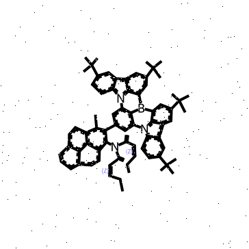 C=C(/C=C\CC)N(C(=C)/C=C\CC)c1c(-c2cc3c4c(c2)-n2c5ccc(C(C)(C)C)cc5c5cc(C(C)(C)C)cc(c52)B4c2cc(C(C)(C)C)cc4c5cc(C(C)(C)C)ccc5n-3c24)c(C)c2ccc3cccc4ccc1c2c34